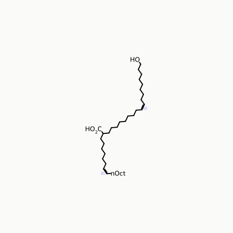 CCCCCCCC/C=C\CCCCCCC(CCCCCCCC/C=C\CCCCCCCCO)C(=O)O